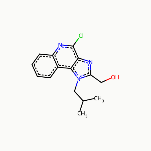 CC(C)Cn1c(CO)nc2c(Cl)nc3ccccc3c21